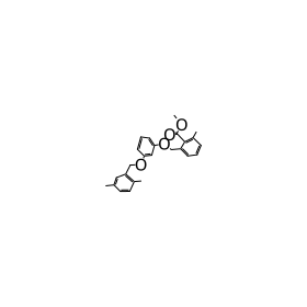 COC(=O)c1c(C)cccc1COc1cccc(OCc2cc(C)ccc2C)c1